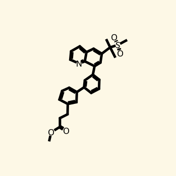 COC(=O)CCc1cccc(-c2cccc(-c3cc(C(C)(C)S(C)(=O)=O)cc4cccnc34)c2)c1